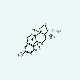 CCCCCCC[C@H]1CC[C@H]2[C@@H]3CCc4cc(O)ccc4[C@H]3CC[C@]12C